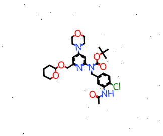 CC(=O)Nc1cc(CN(C(=O)OC(C)(C)C)c2cc(N3CCOCC3)cc(COC3CCCCO3)n2)ccc1Cl